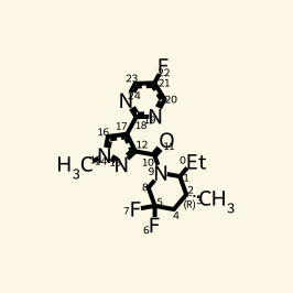 CCC1[C@H](C)CC(F)(F)CN1C(=O)c1nn(C)cc1-c1ncc(F)cn1